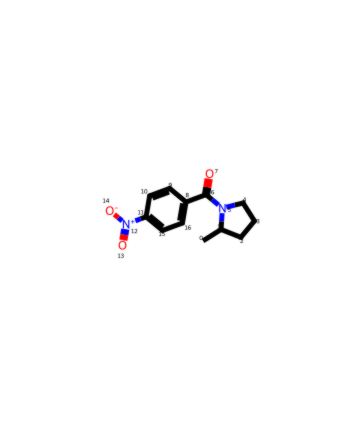 CC1CCCN1C(=O)c1ccc([N+](=O)[O-])cc1